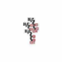 CC(O)CO.CCCC(=O)CC(=O)O.CCCC(=O)CC(=O)O